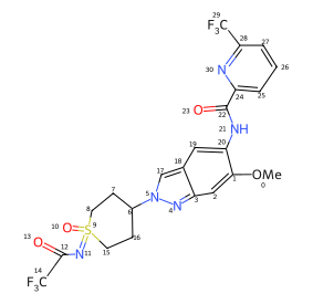 COc1cc2nn(C3CCS(=O)(=NC(=O)C(F)(F)F)CC3)cc2cc1NC(=O)c1cccc(C(F)(F)F)n1